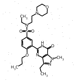 CCCOc1ccc(S(=O)(=O)N(CC)CCN2CCOCC2)cc1-c1nc2c(CC)nn(C)c2c(=O)[nH]1